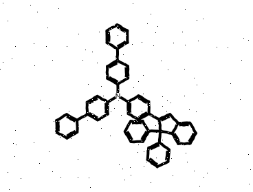 C1=C(c2ccc(N(c3ccc(-c4ccccc4)cc3)c3ccc(-c4ccccc4)cc3)cc2)C(c2ccccc2)(c2ccccc2)c2ccccc21